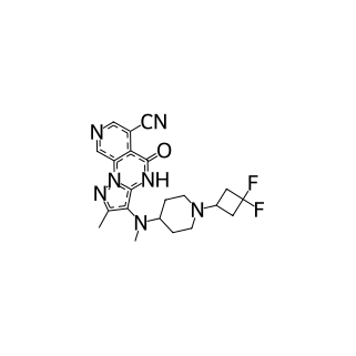 Cc1nn2c([nH]c(=O)c3c(C#N)cncc32)c1N(C)C1CCN(C2CC(F)(F)C2)CC1